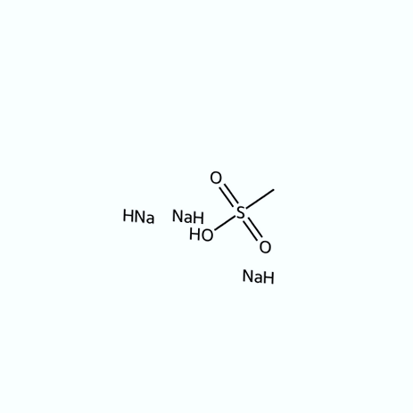 CS(=O)(=O)O.[NaH].[NaH].[NaH]